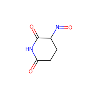 O=NC1CCC(=O)NC1=O